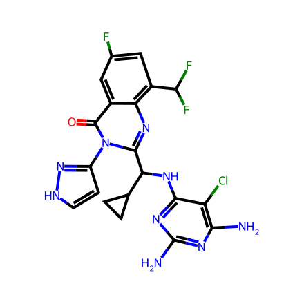 Nc1nc(N)c(Cl)c(NC(c2nc3c(C(F)F)cc(F)cc3c(=O)n2-c2cc[nH]n2)C2CC2)n1